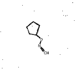 [CH]=NOC1CCCC1